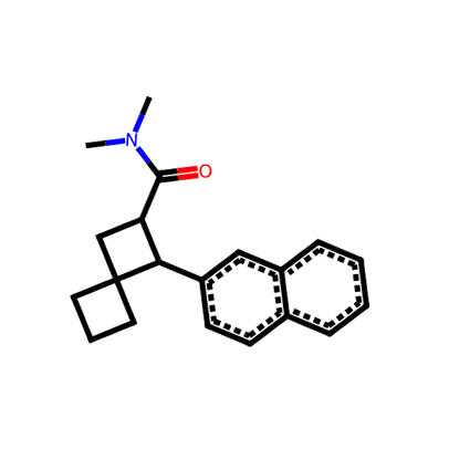 CN(C)C(=O)C1CC2(CCC2)C1c1ccc2ccccc2c1